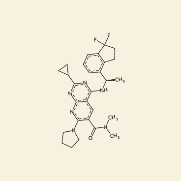 C[C@@H](Nc1nc(C2CC2)nc2nc(N3CCCC3)c(C(=O)N(C)C)cc12)c1cccc2c1CCC2(F)F